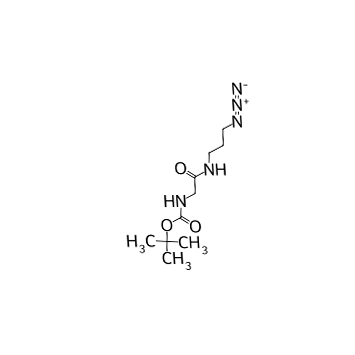 CC(C)(C)OC(=O)NCC(=O)NCCCN=[N+]=[N-]